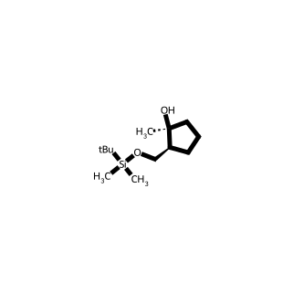 CC(C)(C)[Si](C)(C)OC[C@@H]1CCC[C@]1(C)O